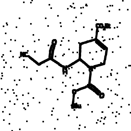 CCOC(=O)C1=CCN(C(=O)OC(C)(C)C)C(NC(=O)CC#N)C1